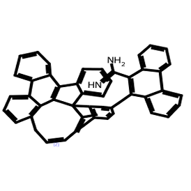 CC1=C2/C=C\Cc3cccc4c3c3c(c5ccccc54)-c4ccccc4C13c1cc(-c3c(C(=N)N)c4ccccc4c4ccccc34)ccc12